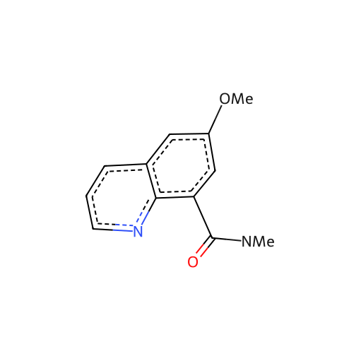 CNC(=O)c1cc(OC)cc2cccnc12